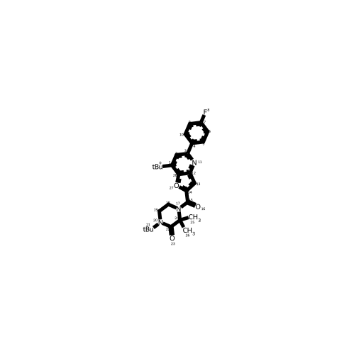 CC(C)(C)c1cc(-c2ccc(F)cc2)nc2cc(C(=O)N3CCN(C(C)(C)C)C(=O)C3(C)C)oc12